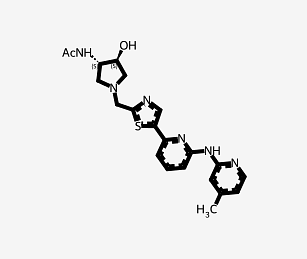 CC(=O)N[C@H]1CN(Cc2ncc(-c3cccc(Nc4cc(C)ccn4)n3)s2)C[C@@H]1O